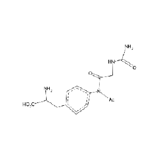 CC(=O)N(C(=O)CNC(N)=O)c1ccc(CC(N)C(=O)O)cc1